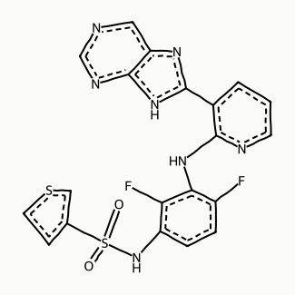 O=S(=O)(Nc1ccc(F)c(Nc2ncccc2-c2nc3cncnc3[nH]2)c1F)c1ccsc1